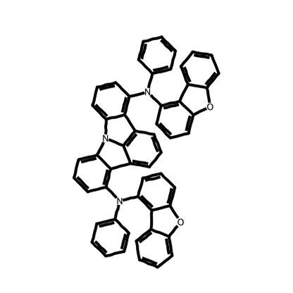 c1ccc(N(c2cccc3oc4ccccc4c23)c2cccc3c2c2cccc4c5c(N(c6ccccc6)c6cccc7oc8ccccc8c67)cccc5n3c24)cc1